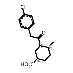 C[C@H]1CC[C@@H](C(=O)O)CN1C(=O)Cc1ccc(Cl)cc1